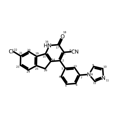 N#Cc1c(-c2cccc(-n3ccnc3)c2)c2c([nH]c1=O)-c1cc(Cl)ccc1C2